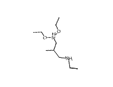 CCNCC(C)C[SiH](OCC)OCC